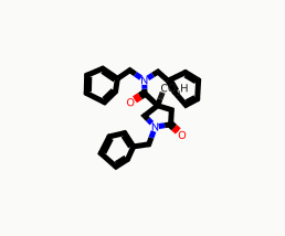 O=C1CC(C(=O)O)(C(=O)N(Cc2ccccc2)Cc2ccccc2)CN1Cc1ccccc1